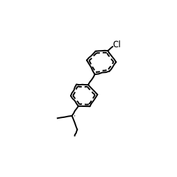 CC[C](C)c1ccc(-c2ccc(Cl)cc2)cc1